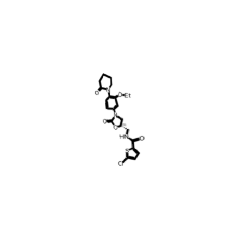 CCOc1cc(N2C[C@H](CNC(=O)c3ccc(Cl)s3)OC2=O)ccc1N1CCCCC1=O